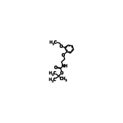 CCOc1ccccc1OCCNC(=O)OC(C)(C)C